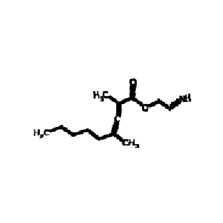 CCCCCC(C)=C=C(C)C(=O)OCC=N